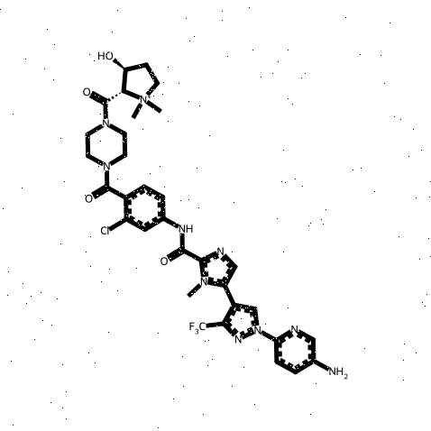 Cn1c(-c2cn(-c3ccc(N)cn3)nc2C(F)(F)F)cnc1C(=O)Nc1ccc(C(=O)N2CCN(C(=O)[C@@H]3[C@@H](O)CC[N+]3(C)C)CC2)c(Cl)c1